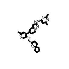 Cc1cc(-c2ccn3nc(Nc4cc(C)nc(C)n4)cc3c2)c(OC[C@H]2CCC3(CCCC3)O2)cn1